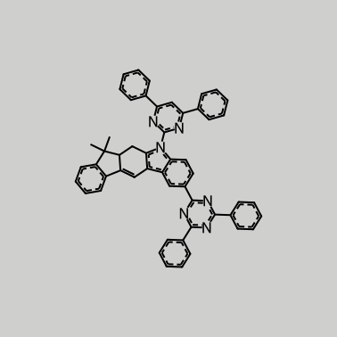 CC1(C)c2ccccc2C2=Cc3c(n(-c4nc(-c5ccccc5)cc(-c5ccccc5)n4)c4ccc(-c5nc(-c6ccccc6)nc(-c6ccccc6)n5)cc34)CC21